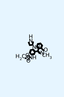 C=CS(=O)(=O)Nc1ccc(NC2CCNC2)c(-c2cn(C)c(=O)c3ccccc23)c1